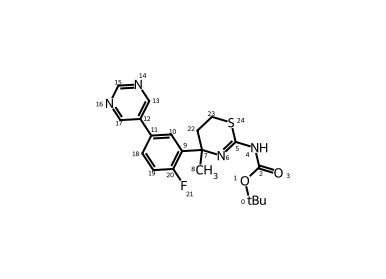 CC(C)(C)OC(=O)NC1=NC(C)(c2cc(-c3cncnc3)ccc2F)CCS1